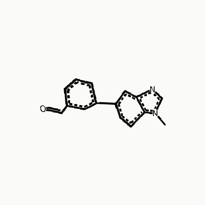 Cn1cnc2cc(-c3cccc(C=O)c3)ccc21